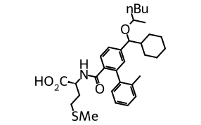 CCCCC(C)OC(c1ccc(C(=O)N[C@@H](CCSC)C(=O)O)c(-c2ccccc2C)c1)C1CCCCC1